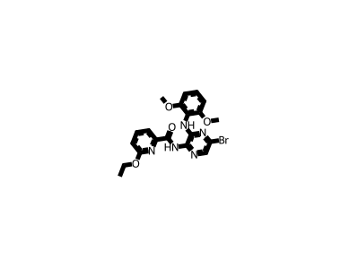 CCOc1cccc(C(=O)Nc2ncc(Br)nc2Nc2c(OC)cccc2OC)n1